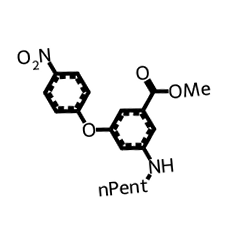 CCCCCNc1cc(Oc2ccc([N+](=O)[O-])cc2)cc(C(=O)OC)c1